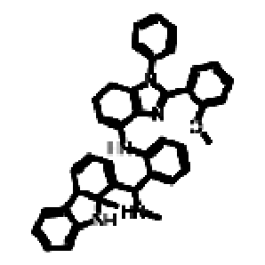 CNC(C1=CC=CC2c3ccccc3NC12C)c1ccccc1NC1=CCCc2c1nc(-c1ccccc1OC)n2-c1ccccc1